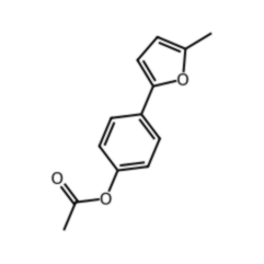 CC(=O)Oc1ccc(-c2ccc(C)o2)cc1